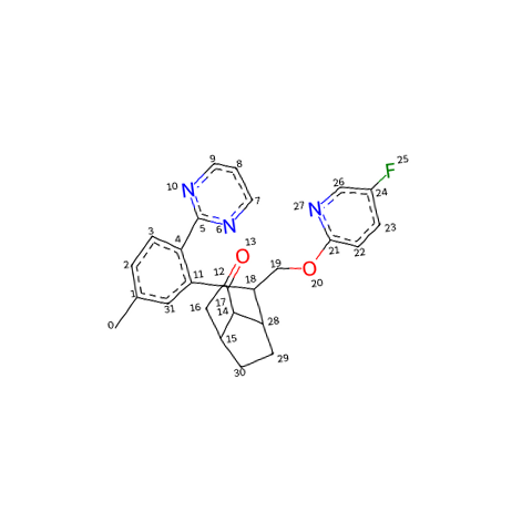 Cc1ccc(-c2ncccn2)c(C(=O)C2C3CCC(COc4ccc(F)cn4)C2CC3)c1